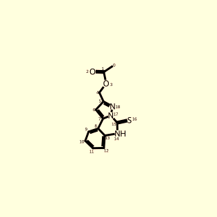 CC(=O)OCc1cc2c3ccccc3[nH]c(=S)n2n1